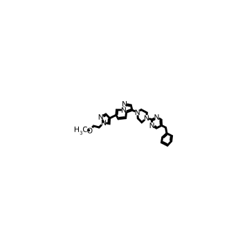 COCCn1cc(-c2ccc3c(N4CCN(c5ncc(Cc6ccccc6)cn5)CC4)cnn3c2)cn1